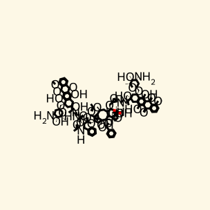 COc1cccc2c1C(=O)c1c(O)c3c(c(O)c1C2=O)C[C@@](O)(/C(C)=N/NC(=O)O[C@H](C(=O)O[C@H]1C[C@@]2(O)[C@@H](OC(=O)c4ccccc4)[C@H]4[C@](C)(C[C@H](OC(C)=O)C(=C1C)C2(C)C)[C@@H](OC1OC1N/N=C(\C)[C@]1(O)Cc2c(O)c5c(c(O)c2[C@@H](O[C@@H]2C[C@@H](N)[C@@H](O)[C@@H](C)O2)C1)C(=O)c1c(OC)cccc1C5=O)C[C@H]1OC[C@]14O[C@H](C)O)[C@H](NC(C)=O)c1ccccc1)C[C@@H]3O[C@@H]1C[C@@H](N)[C@@H](O)[C@@H](C)O1